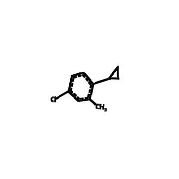 Cc1cc(Cl)ccc1C1CC1